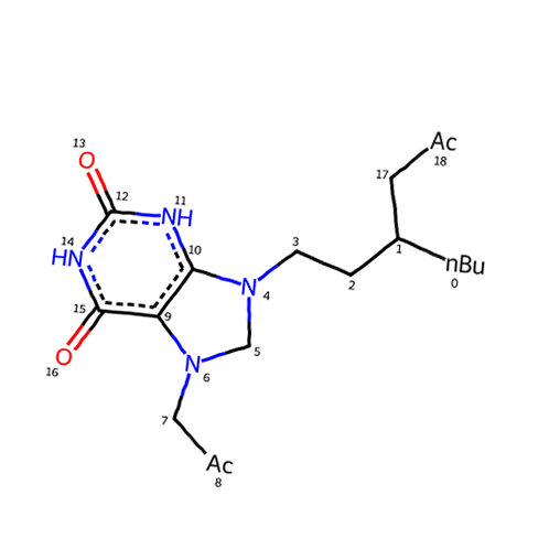 CCCCC(CCN1CN(CC(C)=O)c2c1[nH]c(=O)[nH]c2=O)CC(C)=O